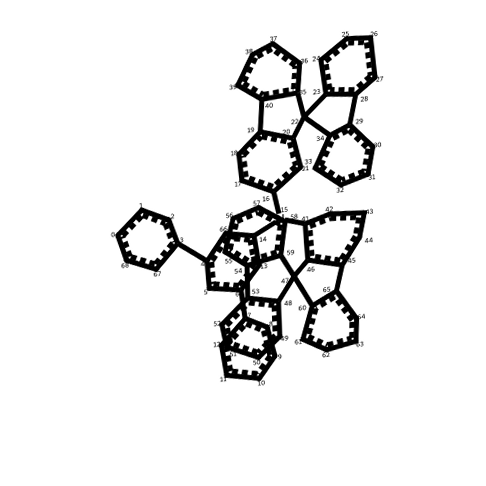 c1ccc(-c2cc(-c3ccccc3)cc(N(c3ccc4c(c3)C3(c5ccccc5-c5ccccc53)c3ccccc3-4)c3cccc4c3C3(c5ccccc5-c5ccccc53)c3ccccc3-4)c2)cc1